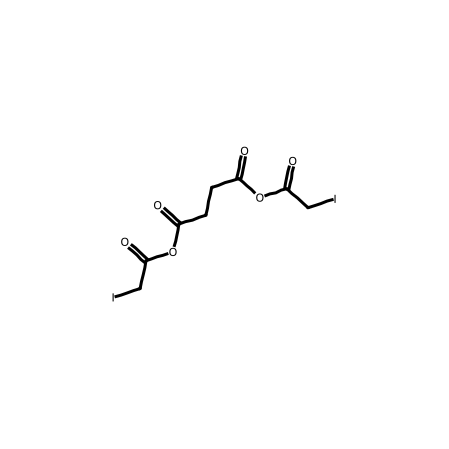 O=C(CI)OC(=O)CCC(=O)OC(=O)CI